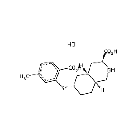 Cc1ccc(C(=O)O)c(S[C@H]2CC[C@H]3CN[C@H](C(=O)O)C[C@H]3C2)c1.Cl